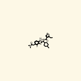 CCc1nocc1C(=O)NC(c1nc2c(F)c(CC(=O)N(C)C)ccc2[nH]1)C1CCC(C)CC1